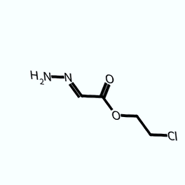 NN=CC(=O)OCCCl